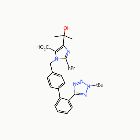 CCCc1nc(C(C)(C)O)c(C(=O)O)n1Cc1ccc(-c2ccccc2-c2nnn(C(C)(C)C)n2)cc1